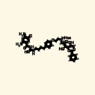 CCCCCCN(CCOc1ccc(CCCCNC(=N)NC(=O)c2nc(Cl)c(N)nc2N)cc1)C[C@H](O)[C@@H](O)[C@@H]1OC(c2ccccc2)OC[C@H]1O